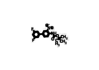 CC(C)(C)OC(=O)Nc1ccc(-c2cc(F)cc(F)c2)cc1[N+](=O)[O-]